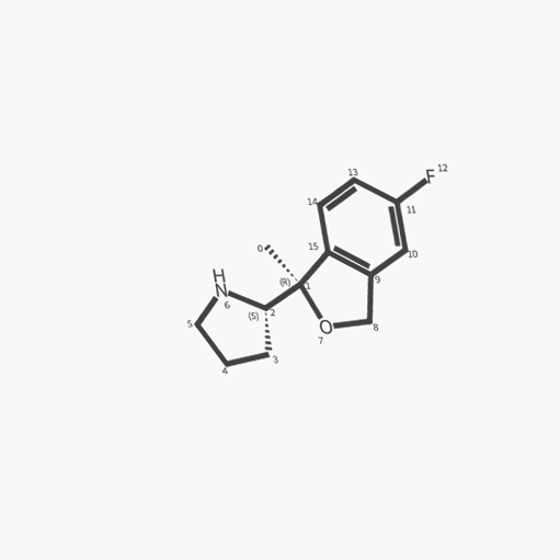 C[C@@]1([C@@H]2CCCN2)OCc2cc(F)ccc21